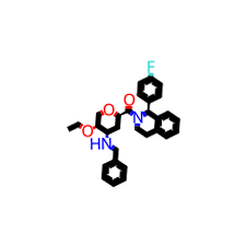 CCO[C@H]1CO[C@@H](C(=O)N2CCc3ccccc3[C@@H]2c2ccc(F)cc2)C[C@H]1NCc1ccccc1